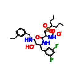 CCCC(CCC)S(=O)(=O)C[C@@H](NC(=O)OC)C(=O)N[C@@H](Cc1cc(F)cc(F)c1)[C@H](O)CNCc1cccc(CC)c1